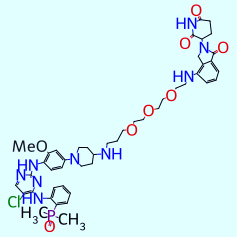 COc1cc(N2CCC(NCCCOCCOCCOCCNc3cccc4c3CN(C3CCC(=O)NC3=O)C4=O)CC2)ccc1Nc1ncc(Cl)c(Nc2ccccc2P(C)(C)=O)n1